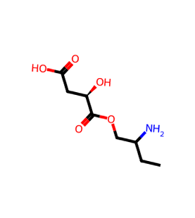 CCC(N)COC(=O)[C@H](O)CC(=O)O